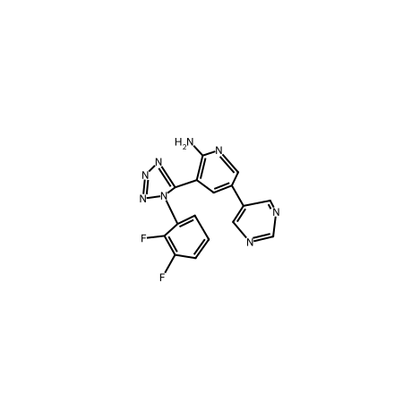 Nc1ncc(-c2cncnc2)cc1-c1nnnn1-c1cccc(F)c1F